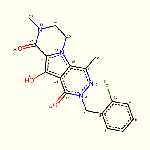 Cc1nn(Cc2ccccc2F)c(=O)c2c(O)c3n(c12)CCN(C)C3=O